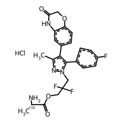 Cc1nn(CC(F)(F)COC(=O)[C@H](C)N)c(-c2ccc(F)cc2)c1-c1ccc2c(c1)NC(=O)CO2.Cl